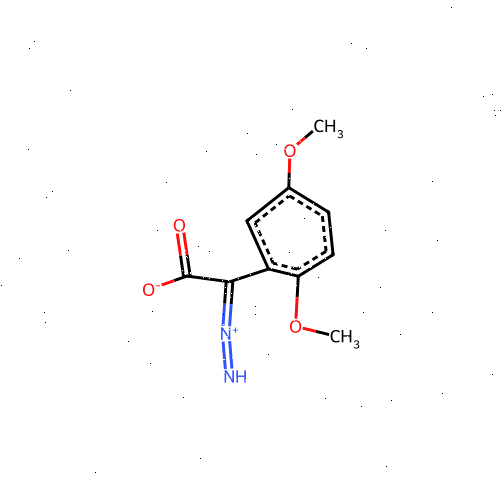 COc1ccc(OC)c(C(=[N+]=N)C(=O)[O-])c1